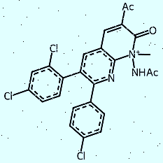 CC(=O)N[N+]1(C)C(=O)C(C(C)=O)=Cc2cc(-c3ccc(Cl)cc3Cl)c(-c3ccc(Cl)cc3)nc21